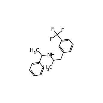 CC(Cc1cccc(C(F)(F)F)c1)NC(C)c1ccccc1